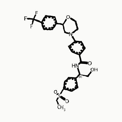 CCS(=O)(=O)c1ccc([C@H](CO)NC(=O)c2ccc(N3CCOC(c4ccc(C(F)(F)F)cc4)C3)cc2)cc1